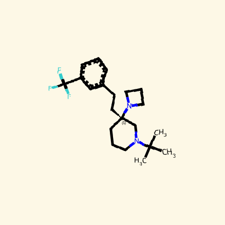 CC(C)(C)N1CCC[C@](CCc2cccc(C(F)(F)F)c2)(N2CCC2)C1